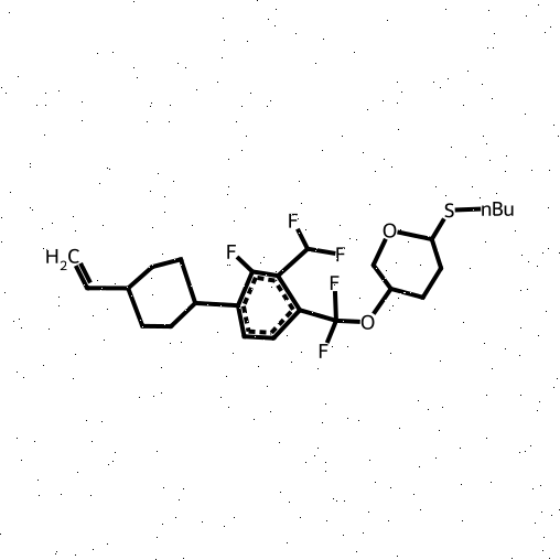 C=CC1CCC(c2ccc(C(F)(F)OC3CCC(SCCCC)OC3)c(C(F)F)c2F)CC1